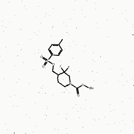 Cc1ccc(S(=O)(=O)OCC2CCN(C(=O)OC(C)(C)C)CC2(F)F)cc1